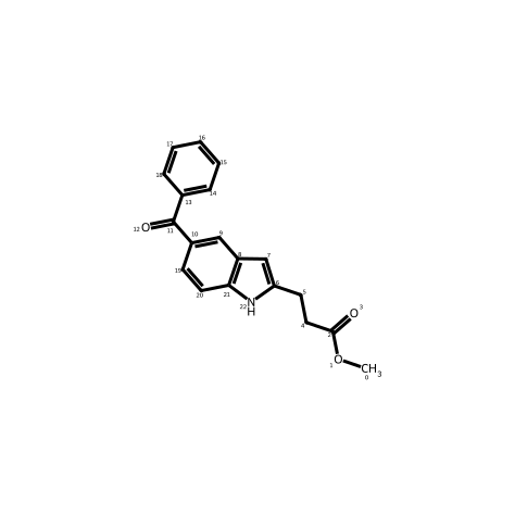 COC(=O)CCc1cc2cc(C(=O)c3ccccc3)ccc2[nH]1